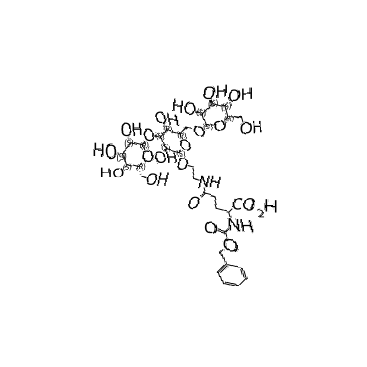 O=C(CCC(NC(=O)OCc1ccccc1)C(=O)O)NCCO[C@H]1O[C@H](CO[C@H]2O[C@H](CO)[C@@H](O)[C@H](O)[C@@H]2O)[C@@H](O)[C@H](O[C@H]2O[C@H](CO)[C@@H](O)[C@H](O)[C@@H]2O)[C@@H]1O